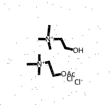 CC(=O)OCC[N+](C)(C)C.C[N+](C)(C)CCO.[Cl-].[Cl-]